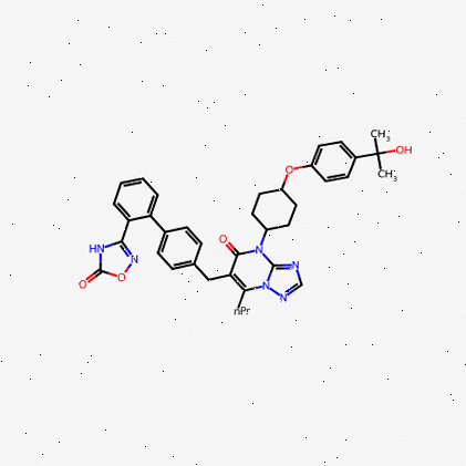 CCCc1c(Cc2ccc(-c3ccccc3-c3noc(=O)[nH]3)cc2)c(=O)n(C2CCC(Oc3ccc(C(C)(C)O)cc3)CC2)c2ncnn12